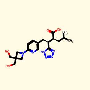 CC(C)C[C@H](C(=O)O)[C@H](Cc1ccc(N2CC(CO)(CO)C2)nc1)c1nnn[nH]1